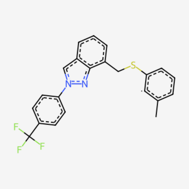 Cc1[c]c(SCc2cccc3cn(-c4ccc(C(F)(F)F)cc4)nc23)ccc1